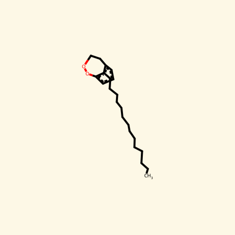 CCCCCCCCCCCCCCc1c2cccc1OOCC2